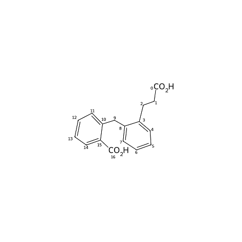 O=C(O)CCc1ccccc1Cc1ccccc1C(=O)O